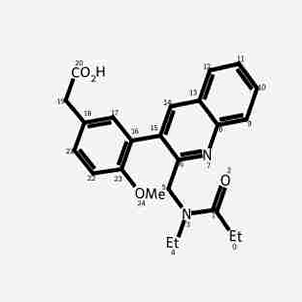 CCC(=O)N(CC)Cc1nc2ccccc2cc1-c1cc(CC(=O)O)ccc1OC